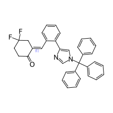 O=C1CCC(F)(F)C/C1=C\c1ccccc1-c1cn(C(c2ccccc2)(c2ccccc2)c2ccccc2)cn1